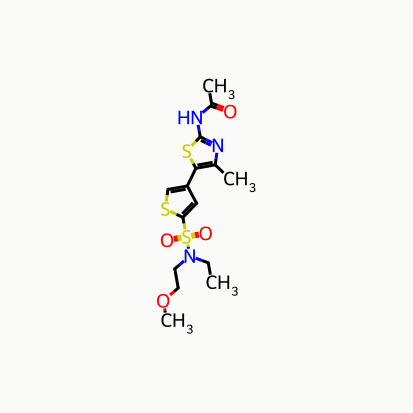 CCN(CCOC)S(=O)(=O)c1cc(-c2sc(NC(C)=O)nc2C)cs1